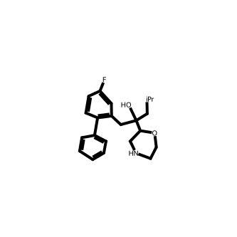 CC(C)CC(O)(Cc1cc(F)ccc1-c1ccccc1)C1CNCCO1